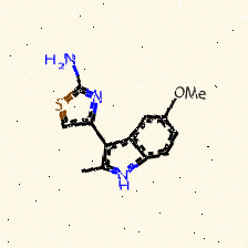 COc1ccc2[nH]c(C)c(-c3csc(N)n3)c2c1